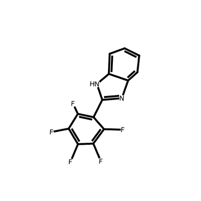 Fc1c(F)c(F)c(-c2nc3ccccc3[nH]2)c(F)c1F